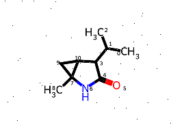 CC(C)C1C(=O)NC2(C)CC12